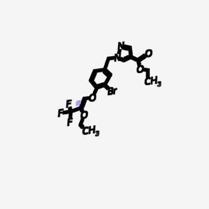 CCOC(=O)c1cnn(Cc2ccc(O/C=C(\OCC)C(F)(F)F)c(Br)c2)c1